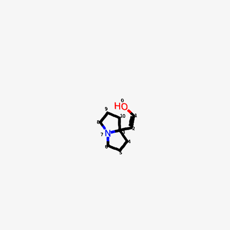 O/C=C\C12CCCN1CCC2